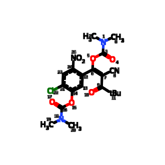 CN(C)C(=O)OC(=C(C#N)C(=O)C(C)(C)C)c1cc(OC(=O)N(C)C)c(Cl)cc1[N+](=O)[O-]